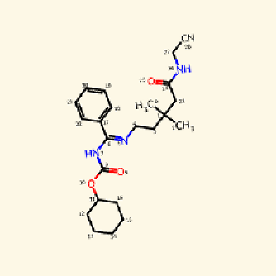 CC(C)(CCN=C(NC(=O)OC1CCCCC1)c1ccccc1)CC(=O)NCC#N